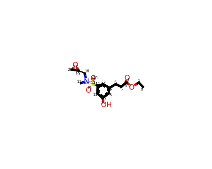 CCOC(=O)CCc1cc(O)cc(S(=O)(=O)N(C)C[C@H]2CO2)c1